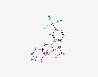 OC1(C(CN2CCNCC2)c2cccc(C(F)(F)F)c2)CCC1